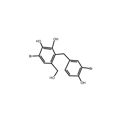 OCc1cc(Br)c(O)c(O)c1Cc1ccc(O)c(Br)c1